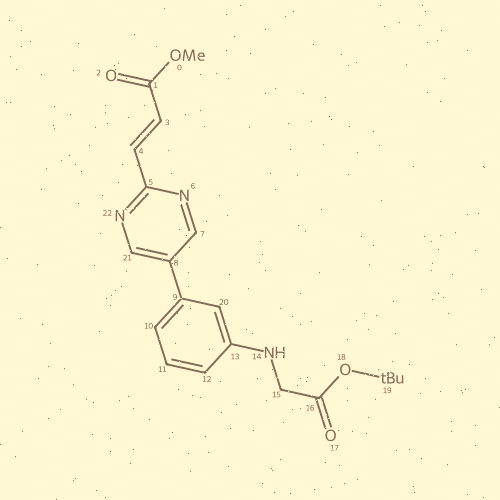 COC(=O)C=Cc1ncc(-c2cccc(NCC(=O)OC(C)(C)C)c2)cn1